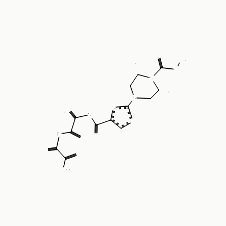 C=C(NC(=O)c1csc(N2C[C@@H](C)N(C(=O)OC(C)(C)C)[C@@H](C)C2)n1)C(=O)NC(=C)C(=O)OC